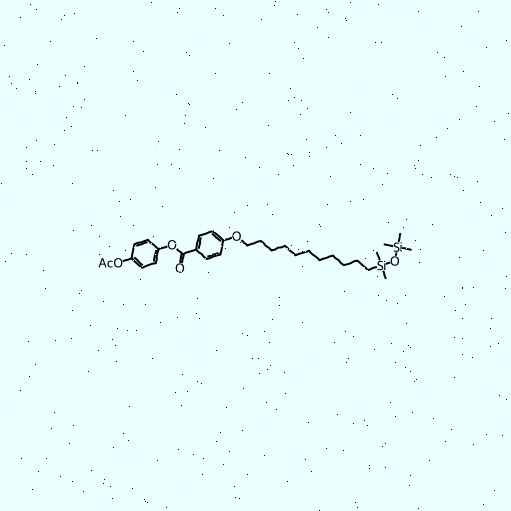 CC(=O)Oc1ccc(OC(=O)c2ccc(OCCCCCCCCCCC[Si](C)(C)O[Si](C)(C)C)cc2)cc1